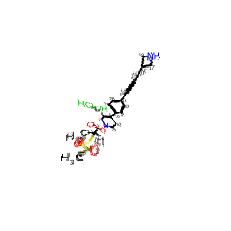 CCC(C)(C(=O)ON1CC=C(c2ccc(C#CC3CNC3)cc2)CC1)S(C)(=O)=O.Cl.Cl